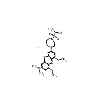 CCc1cc(N(C)C)cc2[s+]c3cc(N4CCCN(S(=O)(=O)C(C)C)CC4)cc(CC)c3nc12.[I-]